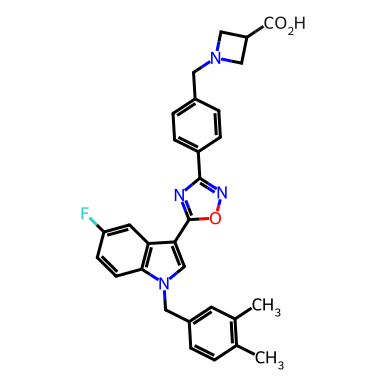 Cc1ccc(Cn2cc(-c3nc(-c4ccc(CN5CC(C(=O)O)C5)cc4)no3)c3cc(F)ccc32)cc1C